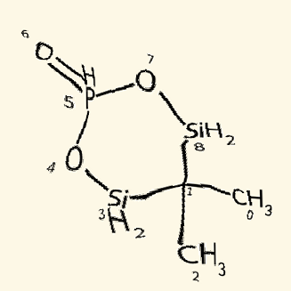 CC1(C)[SiH2]O[PH](=O)O[SiH2]1